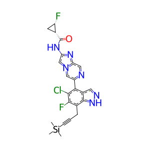 C[Si](C)(C)C#CCc1c(F)c(Cl)c(-c2cn3cc(NC(=O)[C@@H]4C[C@@H]4F)nc3cn2)c2cn[nH]c12